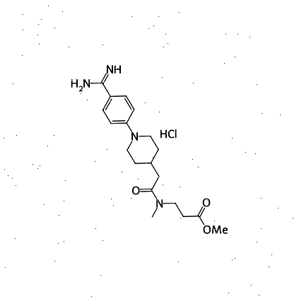 COC(=O)CCN(C)C(=O)CC1CCN(c2ccc(C(=N)N)cc2)CC1.Cl